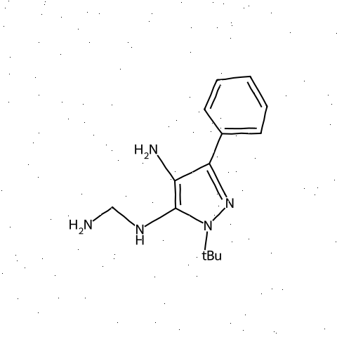 CC(C)(C)n1nc(-c2ccccc2)c(N)c1NCN